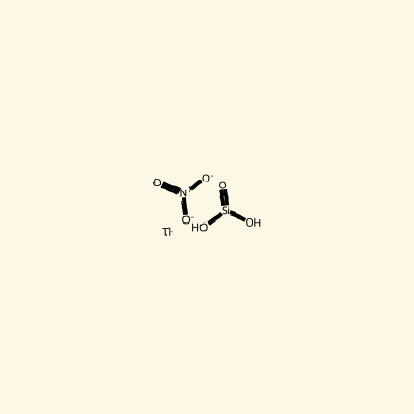 O=[N+]([O-])[O-].O=[Si](O)O.[Tl]